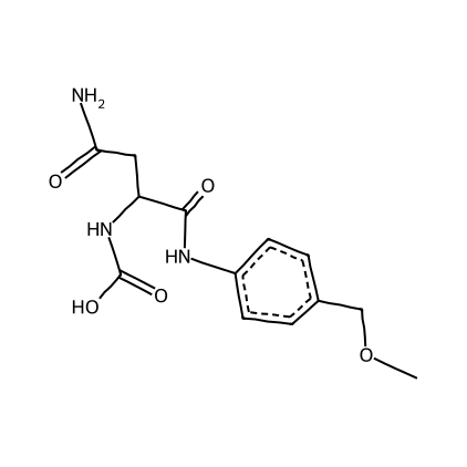 COCc1ccc(NC(=O)C(CC(N)=O)NC(=O)O)cc1